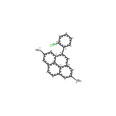 CC(C)(C)c1cc2ccc3cc(C(C)(C)C)cc4c(-c5ccccc5Cl)cc(c1)c2c34